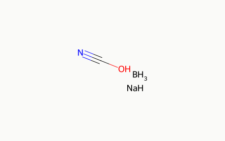 B.N#CO.[NaH]